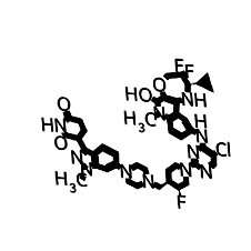 CN1c2ccc(Nc3nc(N4CC[C@H](CN5CCN(c6ccc7c(C8CCC(=O)NC8=O)nn(C)c7c6)CC5)[C@@H](F)C4)ncc3Cl)cc2C2=C(OCC(F)(F)[C@H](C3CC3)N2)C1O